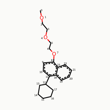 COCCOCCOc1ccc(C2CCCCC2)c2ccccc12